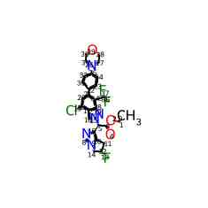 CCOC(=O)[C@@H](c1ncn2c1C[C@@H](F)C2)n1cc2c(Cl)cc(-c3ccc(N4CCOCC4)cc3)c(C(F)F)c2n1